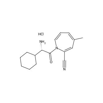 CC1=CC=CN(C(=O)[C@@H](N)C2CCCCC2)C(C#N)=C1.Cl